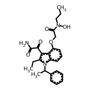 CCCN(O)C(=O)COc1cccc2c1c(C(=O)C(N)=O)c(CC)n2C(C)c1ccccc1